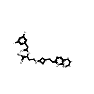 O=C(Cc1cc(F)cc(F)c1)NC(CCOC1CC(CCc2ccc3c(n2)NCCC3)C1)C(=O)O